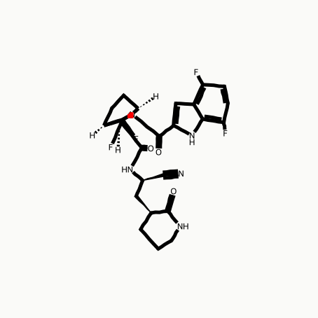 N#C[C@@H](C[C@@H]1CCCNC1=O)NC(=O)[C@H]1[C@H]2CC[C@H](CC2(F)F)N1C(=O)c1cc2c(F)ccc(F)c2[nH]1